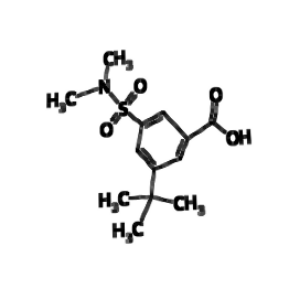 CN(C)S(=O)(=O)c1cc(C(=O)O)cc(C(C)(C)C)c1